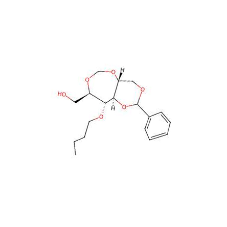 CCCCO[C@H]1[C@@H]2OC(c3ccccc3)OC[C@H]2OCO[C@@H]1CO